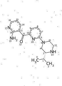 CC(C)[C@@H]1CN(c2cccc(C(=O)c3cccnc3N)n2)CCN1